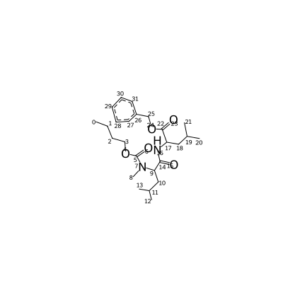 CCCCOC(=O)N(C)C(CC(C)C)C(=O)NC(CC(C)C)C(=O)OCc1ccccc1